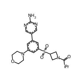 CC(C)C(=O)N1CC(S(=O)(=O)c2cc(-c3cnc(N)nc3)cc(N3CCOCC3)c2)C1